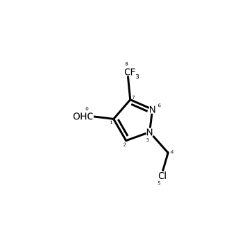 O=Cc1cn(CCl)nc1C(F)(F)F